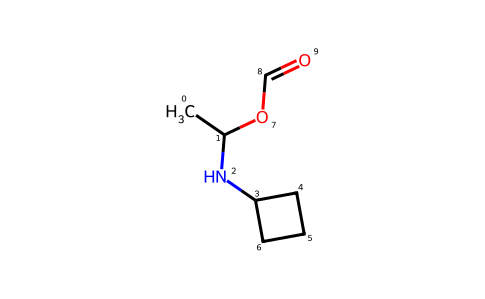 CC(NC1CCC1)OC=O